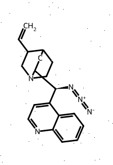 C=CC1CN2CCC1CC2[C@@H](N=[N+]=[N-])c1ccnc2ccccc12